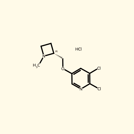 CN1CC[C@@H]1COc1cnc(Cl)c(Cl)c1.Cl